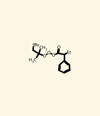 CCC(C(=O)OOOC(C)(C)CC(C)(C)C)c1ccccc1